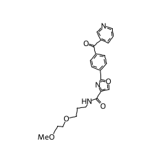 COCCOCCCNC(=O)c1coc(-c2ccc(C(=O)c3cccnc3)cc2)n1